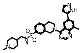 Cc1cc(-c2ccn[nH]2)cc2c(N3CCc4ccc(S(=O)(=O)N(C)CC5CCN(C)CC5)cc4C3)ncnc12